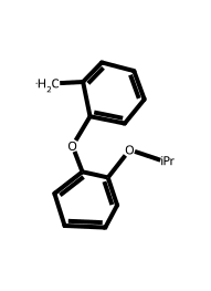 [CH2]c1ccccc1Oc1ccccc1OC(C)C